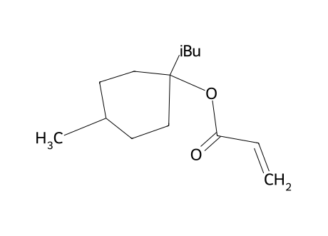 C=CC(=O)OC1(C(C)CC)CCC(C)CC1